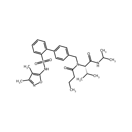 CCCC(=O)N(Cc1ccc(-c2ccccc2S(=O)(=O)Nc2onc(C)c2C)cc1)[C@H](C(=O)NC(C)C)C(C)C